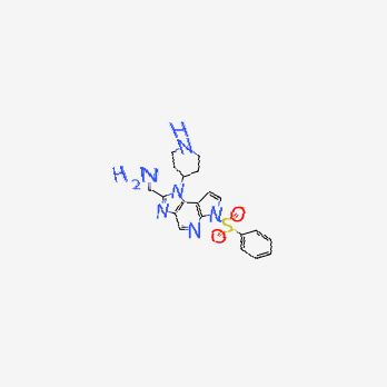 NCc1nc2cnc3c(ccn3S(=O)(=O)c3ccccc3)c2n1C1CCNCC1